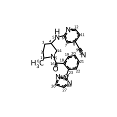 CC1CCC(Nc2cc(C#N)ccn2)CN1C(=O)c1ccccc1-n1nccn1